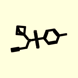 C#CCN(C12CC(C1)C2)S(=O)(=O)c1ccc(C)cc1